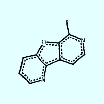 Cc1nccc2c1oc1cccnc12